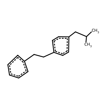 CC(C)Cc1ccc(CCc2ccccc2)cc1